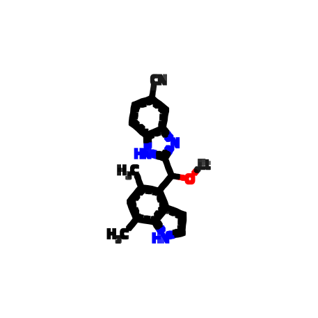 CCOC(c1nc2cc(C#N)ccc2[nH]1)c1c(C)cc(C)c2[nH]ccc12